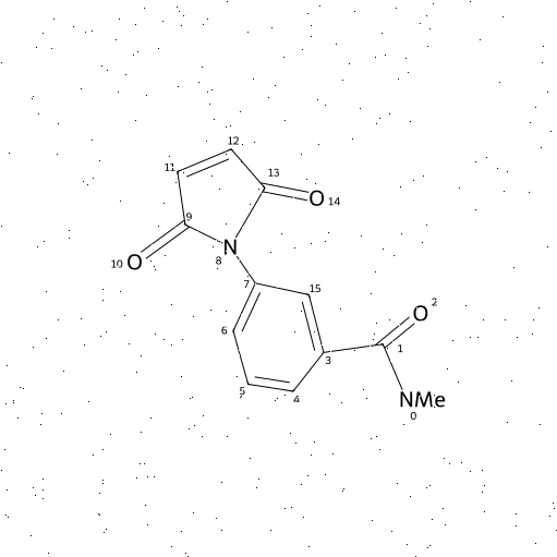 CNC(=O)c1cccc(N2C(=O)C=CC2=O)c1